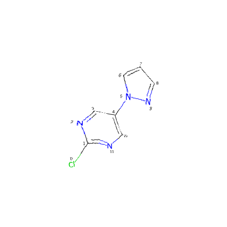 Clc1ncc(-n2cccn2)cn1